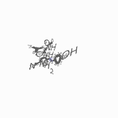 CC(=O)N[C@@H](CC(C)C)C(=O)NC(CC(N)C#N)C(=O)/C=C/c1ccc(O)cc1